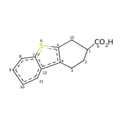 O=C(O)C1CCc2c(sc3ccccc23)C1